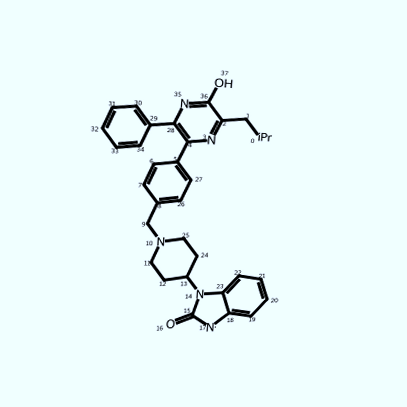 CC(C)Cc1nc(-c2ccc(CN3CCC(N4C(=O)[N]c5ccccc54)CC3)cc2)c(-c2ccccc2)nc1O